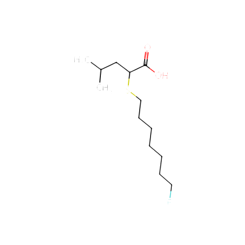 CC(C)CC(SCCCCCCCF)C(=O)O